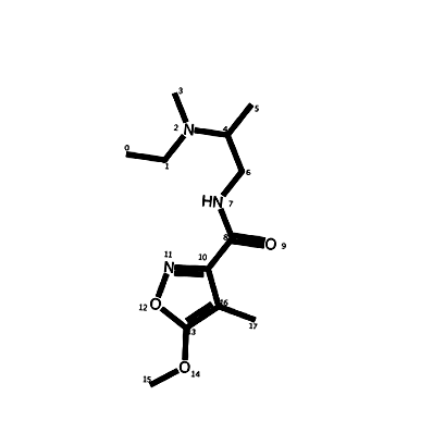 CCN(C)C(C)CNC(=O)c1noc(OC)c1C